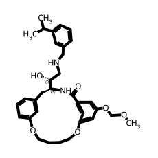 COCOc1cc2cc(c1)C(=O)N[C@H]([C@H](O)CNCc1cccc(C(C)C)c1)Cc1cccc(c1)OCCCCO2